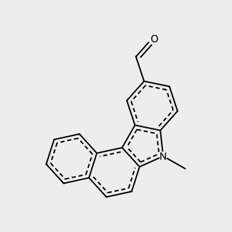 Cn1c2ccc(C=O)cc2c2c3ccccc3ccc21